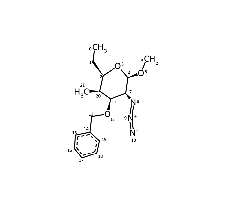 CC[C@H]1O[C@@H](OC)[C@@H](N=[N+]=[N-])[C@@H](OCc2ccccc2)[C@H]1C